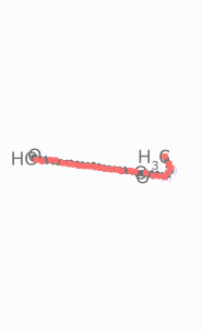 CCCCC/C=C\C/C=C\CCCCCCCC(=O)OCCCCCCCCCCCCCCCCCCCCCCCCCCCCCCCCCCCCCCCC(=O)O